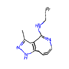 Cc1n[nH]c2ccnc(NCC(C)C)c12